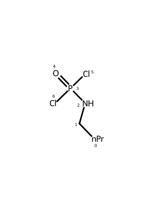 CCCCNP(=O)(Cl)Cl